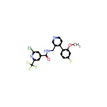 COc1cc(F)ccc1-c1ccncc1CNC(=O)c1cc(Cl)nc(C(F)(F)F)c1